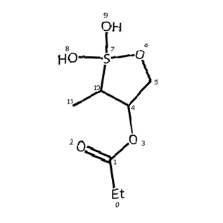 CCC(=O)OC1COS(O)(O)C1C